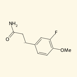 COc1ccc([CH]CC(N)=O)cc1F